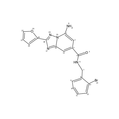 Nc1cc(C(=O)NCc2ccccc2Br)cc2nc(-c3ccco3)nn12